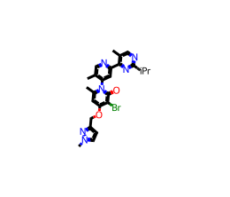 Cc1cnc(-c2nc(C(C)C)ncc2C)cc1-n1c(C)cc(OCc2ccn(C)n2)c(Br)c1=O